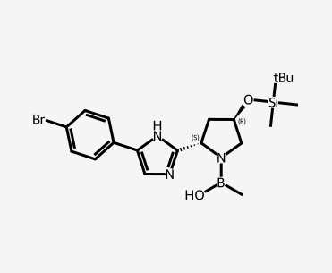 CB(O)N1C[C@H](O[Si](C)(C)C(C)(C)C)C[C@H]1c1ncc(-c2ccc(Br)cc2)[nH]1